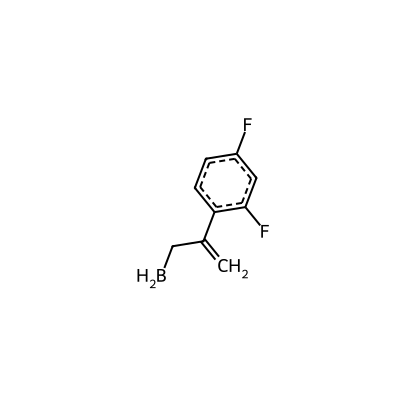 BCC(=C)c1ccc(F)cc1F